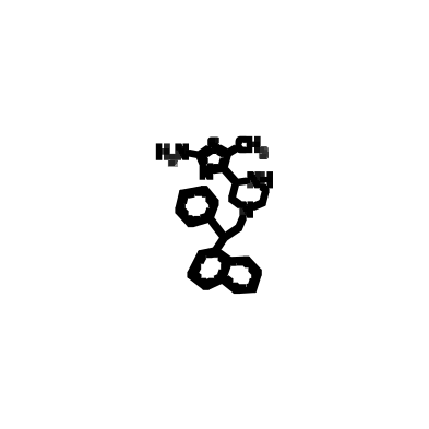 Cc1sc(N)nc1C1CN(CC(c2ccccc2)c2cccc3ccccc23)CCN1